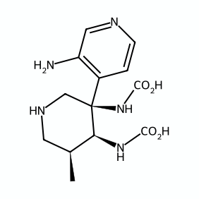 C[C@H]1CNC[C@](NC(=O)O)(c2ccncc2N)[C@H]1NC(=O)O